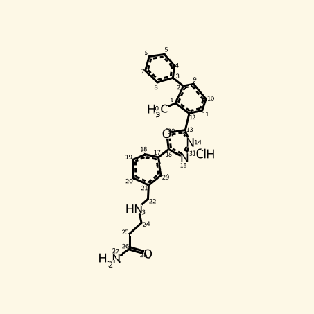 Cc1c(-c2ccccc2)cccc1-c1nnc(-c2cccc(CNCCC(N)=O)c2)o1.Cl